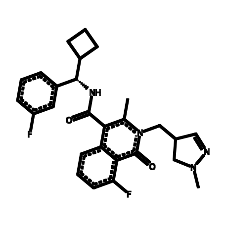 Cc1c(C(=O)N[C@H](c2cccc(F)c2)C2CCC2)c2cccc(F)c2c(=O)n1CC1C=NN(C)C1